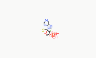 O=P(O)(O)OC1(F)C(O)COC1(CS)n1cnc2cncnc21